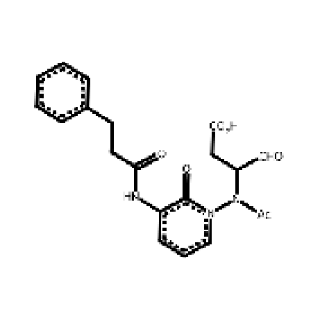 CC(=O)N(C(C=O)CC(=O)O)n1cccc(NC(=O)CCc2ccccc2)c1=O